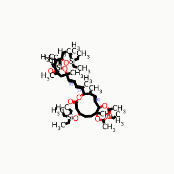 CCOC(C)OC1(C)CCC(O[Si](CC)(CC)CC)CC(=O)OC(/C(C)=C/C=C/C(C)(CC2OC2C(C)C(CC)O[Si](CC)(CC)CC)O[Si](CC)(CC)CC)C(C)/C=C/C1OC(C)=O